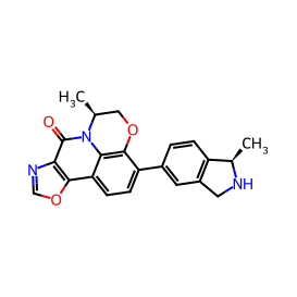 C[C@H]1NCc2cc(-c3ccc4c5ocnc5c(=O)n5c4c3OC[C@@H]5C)ccc21